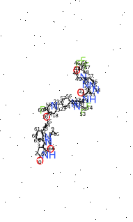 O=C1CCC(c2nn(C3CC3)c3c(C#CCO[C@H]4CCN(C[C@H]5CC[C@H](n6cc(NC(=O)c7cnn8ccc(N9CCOC(C(F)(F)F)C9)nc78)c(C(F)F)n6)CC5)C[C@H]4F)cccc23)C(=O)N1